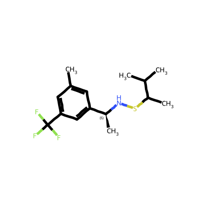 Cc1cc([C@H](C)NSC(C)C(C)C)cc(C(F)(F)F)c1